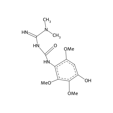 COc1cc(O)c(OC)c(OC)c1NC(=O)NC(=N)N(C)C